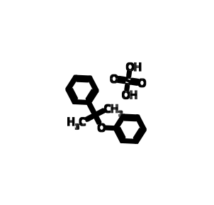 CC(C)(Oc1ccccc1)c1ccccc1.O=S(=O)(O)O